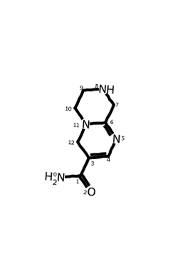 NC(=O)C1=CN=C2CNCCN2C1